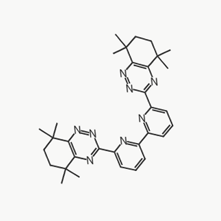 CC1(C)CCC(C)(C)c2nc(-c3cccc(-c4cccc(-c5nnc6c(n5)C(C)(C)CCC6(C)C)n4)n3)nnc21